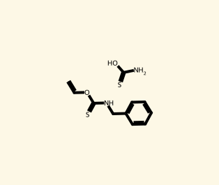 C=COC(=S)NCc1ccccc1.NC(O)=S